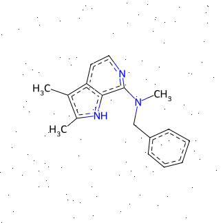 Cc1[nH]c2c(N(C)Cc3ccccc3)nccc2c1C